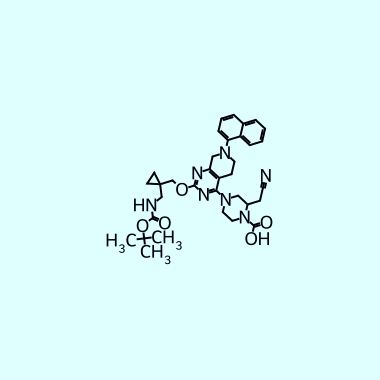 CC(C)(C)OC(=O)NCC1(COc2nc3c(c(N4CCN(C(=O)O)C(CC#N)C4)n2)CCN(c2cccc4ccccc24)C3)CC1